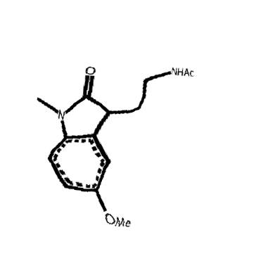 COc1ccc2c(c1)C(CCNC(C)=O)C(=O)N2C